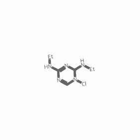 CCNC1=NC(NCC)N(Cl)C=N1